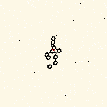 c1ccc(-c2cccc(-c3ccc(N(c4cccc(-c5cccc6ccccc56)c4)c4ccccc4-c4ccc5oc6cc7ccccc7cc6c5c4)cc3)c2)cc1